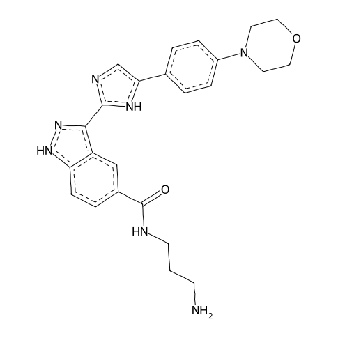 NCCCNC(=O)c1ccc2[nH]nc(-c3ncc(-c4ccc(N5CCOCC5)cc4)[nH]3)c2c1